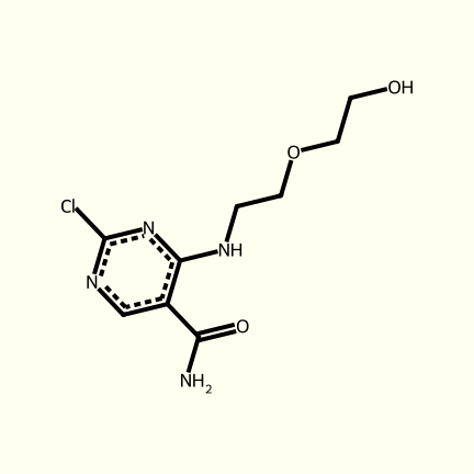 NC(=O)c1cnc(Cl)nc1NCCOCCO